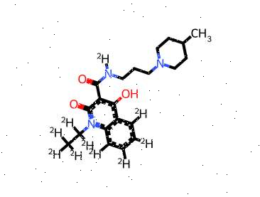 [2H]c1c([2H])c([2H])c2c(c1[2H])c(O)c(C(=O)N([2H])CCCN1CCC(C)CC1)c(=O)n2C([2H])([2H])C([2H])([2H])[2H]